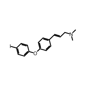 CN(C)CC=Cc1ccc(Oc2ccc(I)cc2)cc1